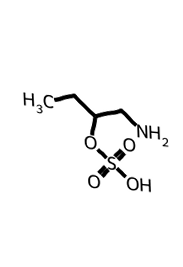 CCC(CN)OS(=O)(=O)O